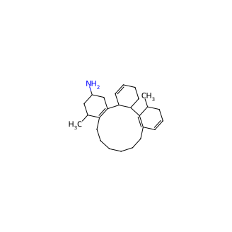 CC1CC(N)CC2=C1CCCCCCC1=C(C(C)CC=C1)C1CCC=CC21